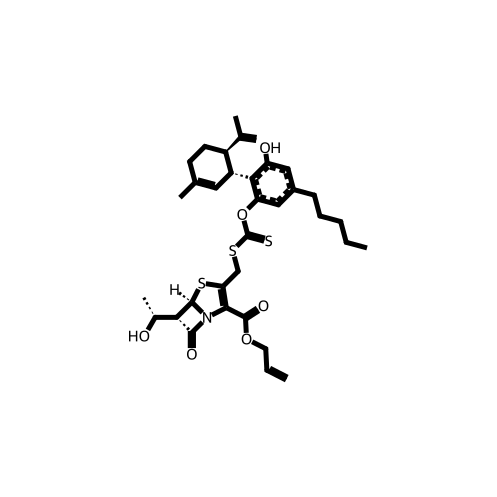 C=CCOC(=O)C1=C(CSC(=S)Oc2cc(CCCCC)cc(O)c2[C@@H]2C=C(C)CC[C@H]2C(=C)C)S[C@@H]2[C@@H]([C@@H](C)O)C(=O)N12